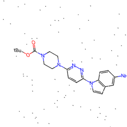 CC(C)(C)OC(=O)N1CCN(c2ccc(-n3ccc4cc(N)ccc43)nn2)CC1